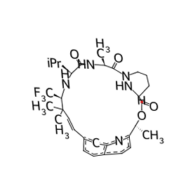 CC(C)[C@@H]1N[C@H](C(F)(F)F)C(C)(C)/C=C/c2ccc3ccc(nc3c2)[C@@H](C)OC(=O)[C@@H]2CCCN(N2)C(=O)[C@H](C)NC1=O